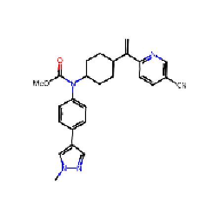 C=C(c1ccc(C#N)cn1)C1CCC(N(C(=O)OC)c2ccc(-c3cnn(C)c3)cc2)CC1